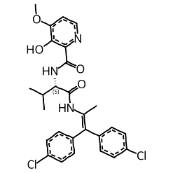 COc1ccnc(C(=O)N[C@H](C(=O)NC(C)=C(c2ccc(Cl)cc2)c2ccc(Cl)cc2)C(C)C)c1O